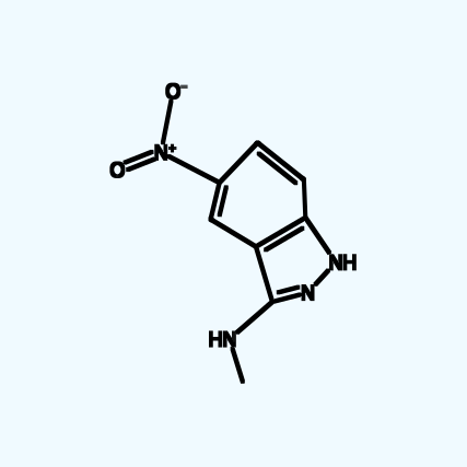 CNc1n[nH]c2ccc([N+](=O)[O-])cc12